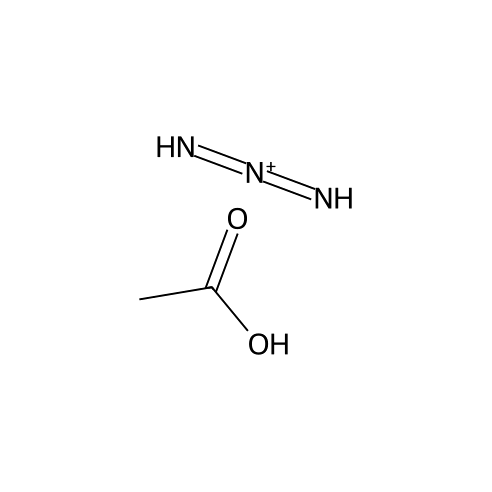 CC(=O)O.N=[N+]=N